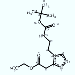 CCOC(=O)Cc1nncn1CCNC(=O)OC(C)(C)C